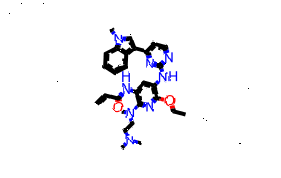 C=CC(=O)Nc1cc(Nc2nccc(-c3cn(C)c4ccccc34)n2)c(OCC)nc1N(C)CCN(C)C